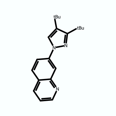 CC(C)(C)c1cn(-c2ccc3cccnc3c2)nc1C(C)(C)C